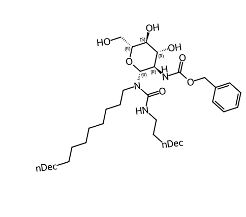 CCCCCCCCCCCCCCCCCCN(C(=O)NCCCCCCCCCCCC)[C@@H]1O[C@H](CO)[C@@H](O)[C@H](O)[C@H]1NC(=O)OCc1ccccc1